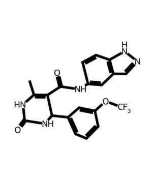 CC1=C(C(=O)Nc2ccc3[nH]ncc3c2)C(c2cccc(OC(F)(F)F)c2)NC(=O)N1